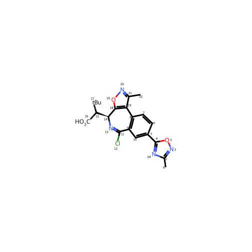 Cc1noc(-c2ccc3c(c2)C(Cl)=N[C@@H](C(C(=O)O)C(C)(C)C)c2onc(C)c2-3)n1